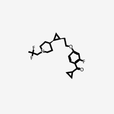 CC(F)(F)CN1CCC([C@H]2C[C@H]2CCOc2ccc(C(=O)C3CC3)c(F)c2)CC1